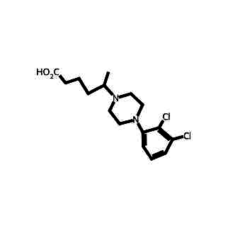 CC(CCCC(=O)O)N1CCN(c2cccc(Cl)c2Cl)CC1